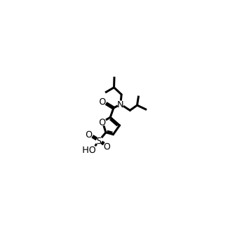 CC(C)CN(CC(C)C)C(=O)c1ccc(S(=O)(=O)O)o1